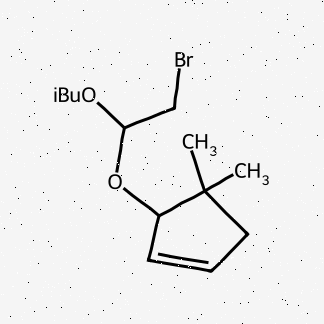 CC(C)COC(CBr)OC1C=CCC1(C)C